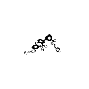 O=C(NCCN1CCOCC1)c1cccc(-c2ccc3c(c2)C(=O)Nc2cc(OC(F)(F)F)ccc2O3)c1